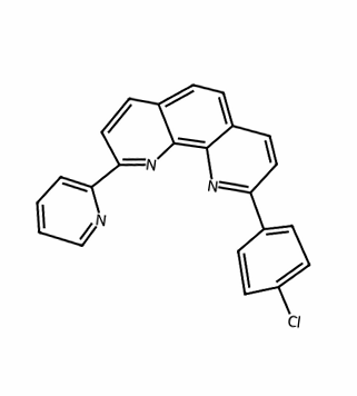 Clc1ccc(-c2ccc3ccc4ccc(-c5ccccn5)nc4c3n2)cc1